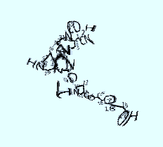 N#CC[C@H]1CN(c2nc(OC[C@@H]3C[C@@H](COCCOCCO)CN3)nc3c2CCNC3)CCN1C(=O)O